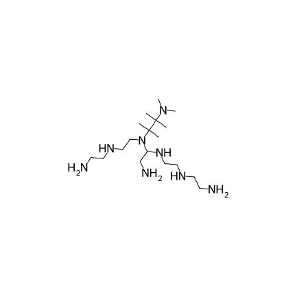 CN(C)C(C)(C)C(C)(C)N(CCNCCN)C(CN)NCCNCCN